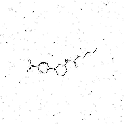 CCCCOC(=O)N[C@H]1CCCN(c2ccc([N+](=O)[O-])nc2)C1